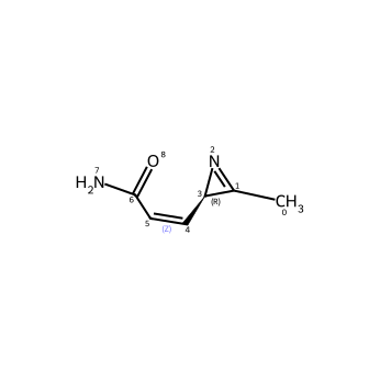 CC1=N[C@@H]1/C=C\C(N)=O